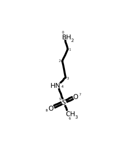 BCCCNS(C)(=O)=O